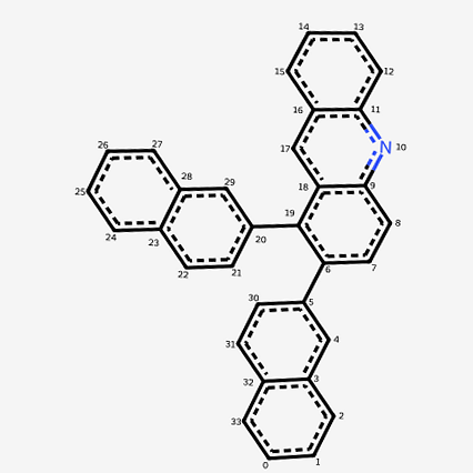 c1ccc2cc(-c3ccc4nc5ccccc5cc4c3-c3ccc4ccccc4c3)ccc2c1